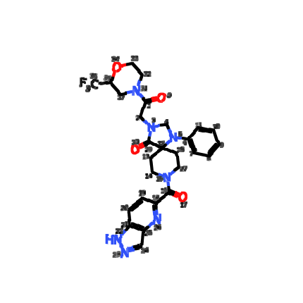 O=C(CN1CN(c2ccccc2)C2(CCN(C(=O)c3ccc4[nH]ncc4n3)CC2)C1=O)N1CCOC(C(F)(F)F)C1